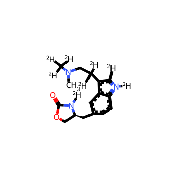 [2H]c1c(C([2H])([2H])CN(C)C([2H])([2H])[2H])c2cc(C[C@H]3COC(=O)N3[2H])ccc2n1[2H]